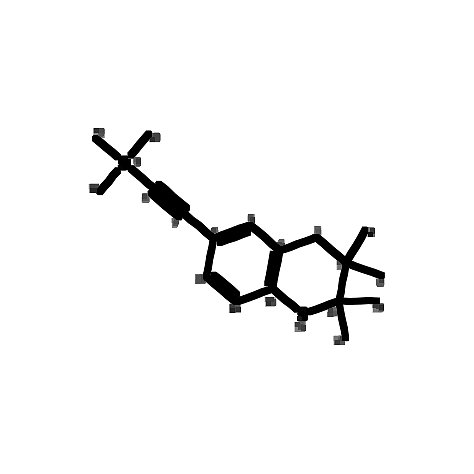 CC1(C)Cc2cc(C#C[Si](C)(C)C)ccc2SC1(C)C